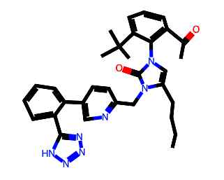 CCCCc1cn(-c2c(C(C)=O)cccc2C(C)(C)C)c(=O)n1Cc1ccc(-c2ccccc2-c2nnn[nH]2)cn1